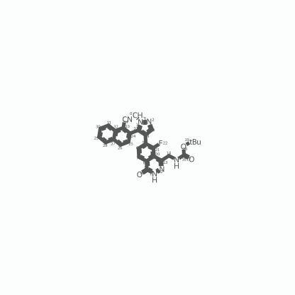 Cn1ncc(-c2ccc3c(=O)[nH]nc(CNC(=O)OC(C)(C)C)c3c2F)c1-c1ccc2ccccc2c1C#N